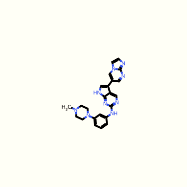 CN1CCN(c2cccc(Nc3ncc4c(-c5cnc6nccn6c5)c[nH]c4n3)c2)CC1